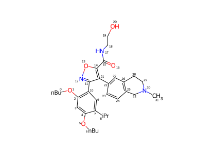 CCCCOc1cc(OCCCC)c(C(C)C)cc1-c1noc(C(=O)NCCO)c1-c1ccc2c(c1)CCN(C)C2